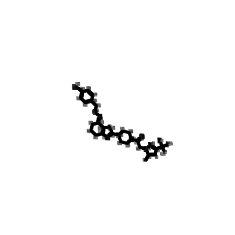 Cc1cc(C(F)(F)F)nn1CC(=O)N1CCN(c2nc3c(s2)C(=NOCc2ccc(Br)cc2)CCC3)CC1